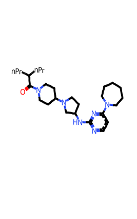 CCCC(CCC)C(=O)N1CCC(N2CCC(Nc3nccc(N4CCCCCC4)n3)C2)CC1